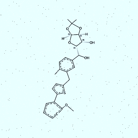 COc1ccccc1-c1ccc(Cc2cc(C(O)[C@@H]3O[C@H]4OC(C)(C)O[C@H]4[C@@H]3O)ccc2C)s1